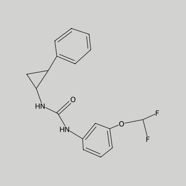 O=C(Nc1cccc(OC(F)F)c1)NC1CC1c1ccccc1